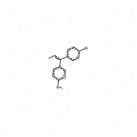 C/C=C(/c1ccc(Br)cc1)c1ccc(N)nc1